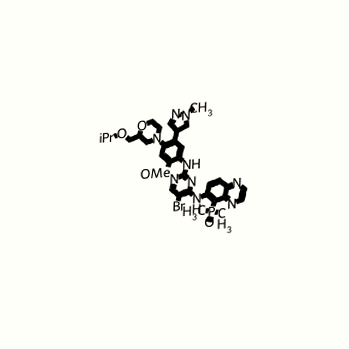 COc1cc(N2CCOC(COC(C)C)C2)c(C2C=NN(C)C2)cc1Nc1ncc(Br)c(Nc2ccc3nccnc3c2P(C)(C)=O)n1